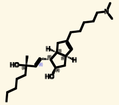 CCCCC[C@](C)(O)/C=C/[C@@H]1[C@H]2CC(CCCCCN(C)C)=C[C@H]2C[C@H]1O